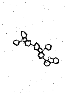 C1=CCCC(n2c3c(c4c2=CCC(c2ccc5c(c2)c2ccc(C6=CCCC7=C6OC6CCC=CC76)cc2n5C2=CC=CCC2)C=4)C=CCC3)=C1